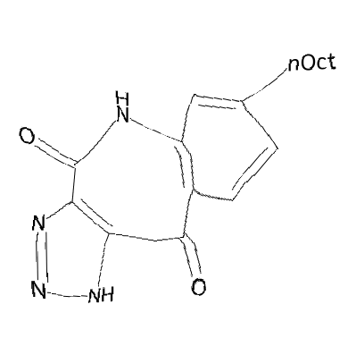 CCCCCCCCc1ccc2c(=O)c3[nH]nnc3c(=O)[nH]c2c1